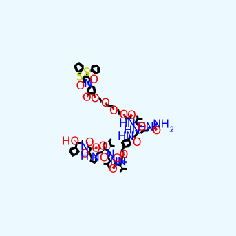 CCC(C)[C@@H]([C@@H](CC(=O)N1CCC[C@H]1[C@H](OC)[C@@H](C)C(=O)N[C@H](C)[C@@H](O)c1ccccc1)OC)N(C)C(=O)[C@@H](NC(=O)[C@H](C(C)C)N(C)C(=O)OCc1ccc(NC(=O)[C@H](CCCNC(N)=O)NC(=O)[C@@H](NC(=O)COCCOCCOCCOc2ccc(N3C(=O)C(Sc4ccccc4)=C(Sc4ccccc4)C3=O)cc2OC)C(C)C)cc1)C(C)C